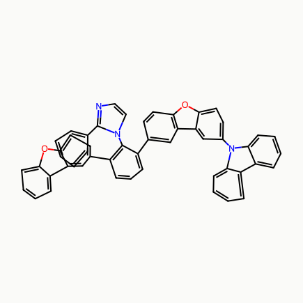 c1ccc(-c2nccn2-c2c(-c3ccc4oc5ccccc5c4c3)cccc2-c2ccc3oc4ccc(-n5c6ccccc6c6ccccc65)cc4c3c2)cc1